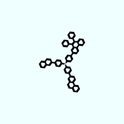 c1ccc(-c2c(-c3ccccc3)c3cc(-c4ccc(N(c5ccc(-c6ccc7ccccc7c6)cc5)c5ccc(-c6ccc7c(ccc8ccccc87)c6)cc5)cc4)ccc3c3ccccc23)cc1